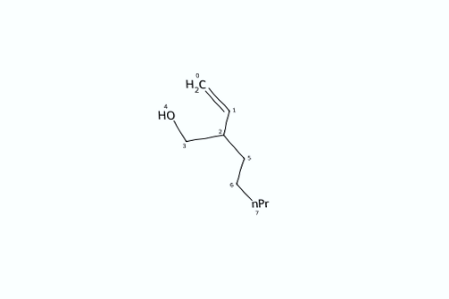 C=CC(CO)CCCCC